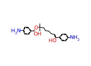 CC(C)(CCCC/C=C(\O)c1ccc(N)cc1)OC(O)c1ccc(N)cc1